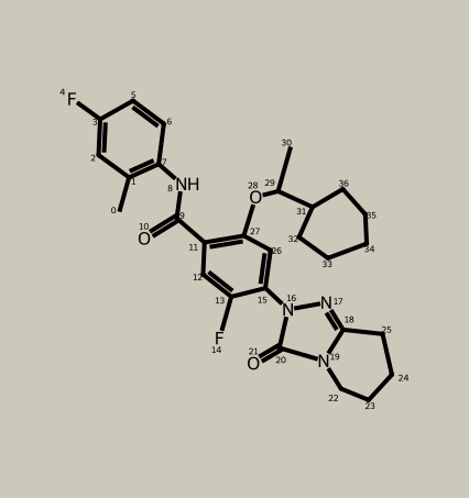 Cc1cc(F)ccc1NC(=O)c1cc(F)c(-n2nc3n(c2=O)CCCC3)cc1OC(C)C1CCCCC1